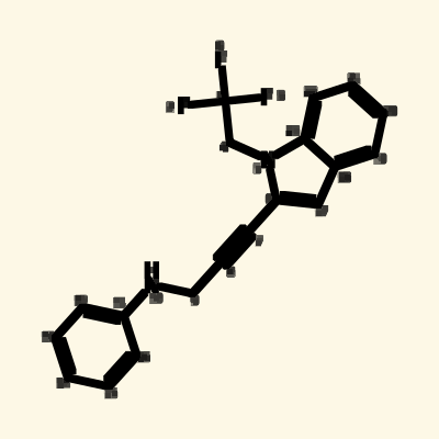 FC(F)(F)Cn1c(C#CCNc2ccccc2)cc2ccccc21